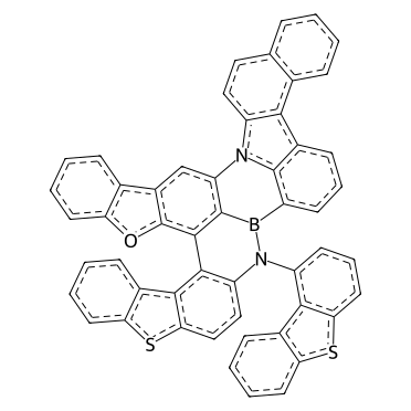 c1ccc2c(c1)ccc1c2c2cccc3c2n1-c1cc2c(oc4ccccc42)c2c1B3N(c1cccc3sc4ccccc4c13)c1ccc3sc4ccccc4c3c1-2